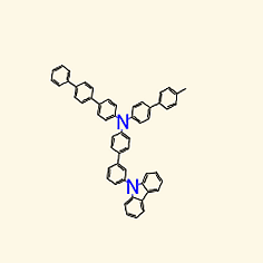 Cc1ccc(-c2ccc(N(c3ccc(-c4ccc(-c5ccccc5)cc4)cc3)c3ccc(-c4cccc(-n5c6ccccc6c6ccccc65)c4)cc3)cc2)cc1